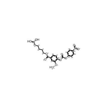 COc1cc(C(=O)OCCCCON(O)O)ccc1OC(=O)Oc1ccc([N+](=O)[O-])cc1